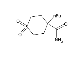 CCCCC1(C(N)=O)CCS(=O)(=O)CC1